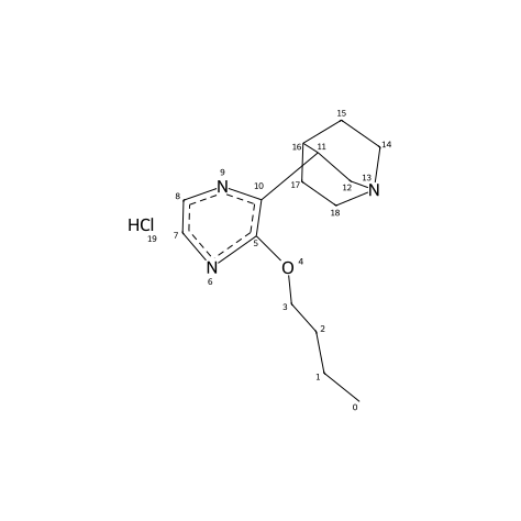 CCCCOc1nccnc1C1CN2CCC1CC2.Cl